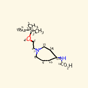 CC(C)(C)[Si](C)(C)OCCN1CCC[C@H](NC(=O)O)CC1